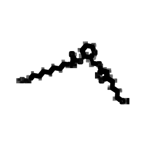 CCCCCCCCCCCCCCCCCNC(=O)O[C@@H]1CCCO[C@H]1COc1cc(CCCCO)on1